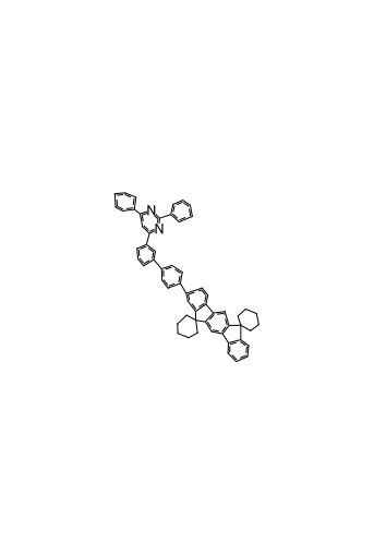 c1ccc(-c2cc(-c3cccc(-c4ccc(-c5ccc6c(c5)C5(CCCCC5)c5cc7c(cc5-6)C5(CCCCC5)c5ccccc5-7)cc4)c3)nc(-c3ccccc3)n2)cc1